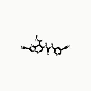 COC(C)c1c(NC(=O)Nc2cncc(C#N)c2)cnn2cc(C#N)nc12